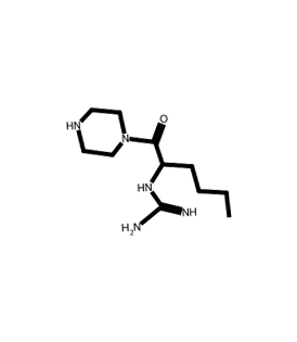 CCCCC(NC(=N)N)C(=O)N1CCNCC1